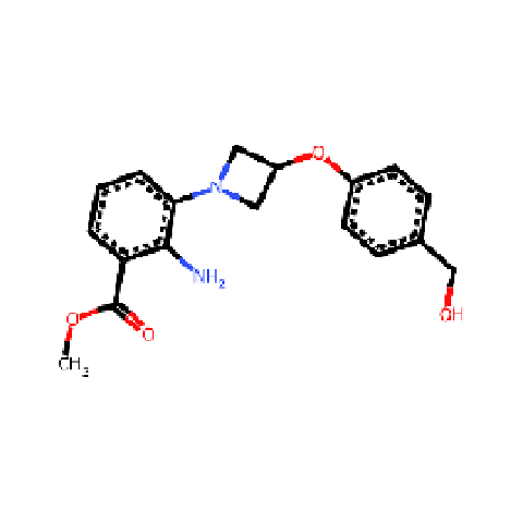 COC(=O)c1cccc(N2CC(Oc3ccc(CO)cc3)C2)c1N